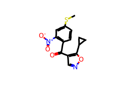 CSc1ccc(C(=O)c2cnoc2C2CC2)c([N+](=O)[O-])c1